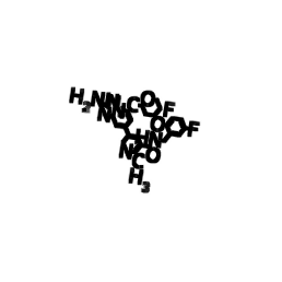 Cc1ncc(-c2ccn3nc(N)nc3c2)cc1C(=O)NCc1cc(F)cc(F)c1OC1CCOC(C)C1